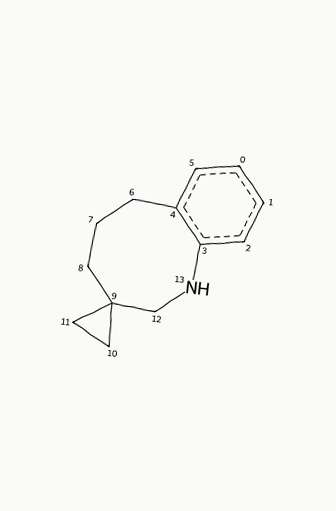 c1ccc2c(c1)CCCC1(CC1)CN2